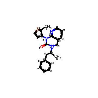 Cc1sccc1N1C(=O)N(C(C)Cc2ccccc2)Cc2cccnc21